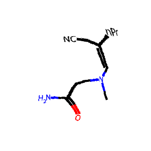 CCCC(C#N)=CN(C)CC(N)=O